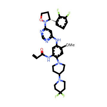 C=CC(=O)Nc1cc(Nc2cc(N3OCC[C@@H]3c3cccc(F)c3F)ncn2)c(OC)cc1N1CCC(N2CCC(F)(F)CC2)CC1